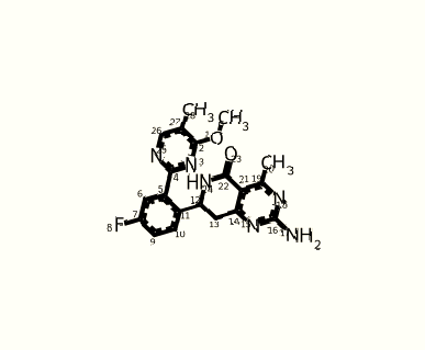 COc1nc(-c2cc(F)ccc2C2Cc3nc(N)nc(C)c3C(=O)N2)ncc1C